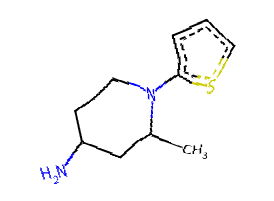 CC1CC(N)CCN1c1cccs1